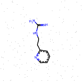 N=C(N)NCCc1ccccn1